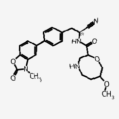 COC1CCNCC(C(=O)N[C@H](C#N)Cc2ccc(-c3ccc4oc(=O)n(C)c4c3)cc2)OC1